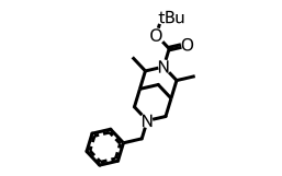 CC1C2CC(CN(Cc3ccccc3)C2)C(C)N1C(=O)OC(C)(C)C